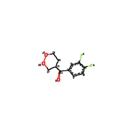 O=C(c1ccc(F)c(F)c1)C1CCOOC1